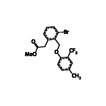 COC(=O)Cc1cccc(Br)c1COc1ccc(C)cc1C(F)(F)F